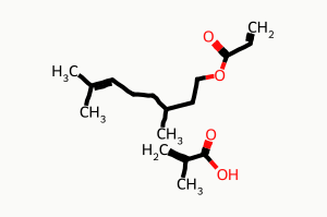 C=C(C)C(=O)O.C=CC(=O)OCCC(C)CCC=C(C)C